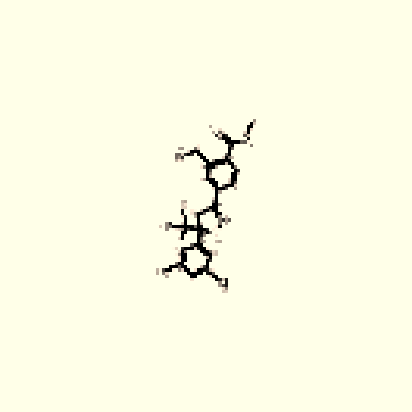 COC(=O)c1ccc(C2=NOC(c3cc(Cl)cc(Cl)c3)(C(F)(F)F)C2)cc1CBr